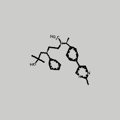 Cc1ncc(-c2ccc([C@H](C)N(CC[C@H](CC(C)(C)O)c3ccccc3)C(=O)O)cc2)cn1